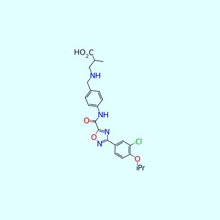 CC(C)Oc1ccc(-c2noc(C(=O)Nc3ccc(CNCC(C)C(=O)O)cc3)n2)cc1Cl